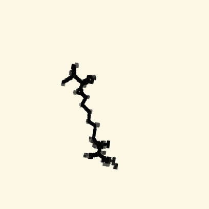 C=C(C)C(=O)OCCCCCCNC(N)=S